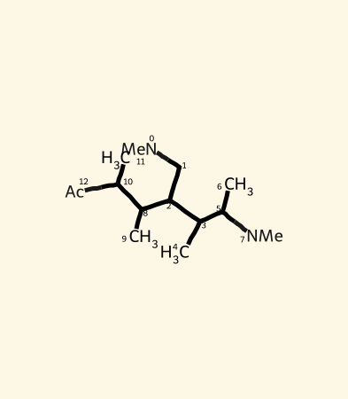 CNCC(C(C)C(C)NC)C(C)C(C)C(C)=O